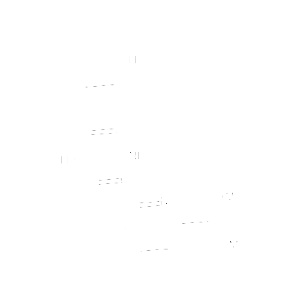 COC(OC)c1cccc(C(=O)Nc2cc(C)ccc2C)n1